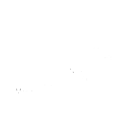 C=CCOC(=O)CCC(=O)NCCc1cccc(OC)c1